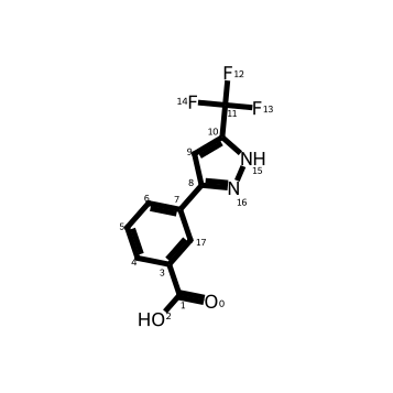 O=C(O)c1cccc(-c2cc(C(F)(F)F)[nH]n2)c1